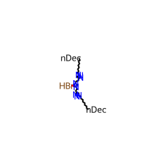 Br.CCCCCCCCCCCCCCCCCCn1cc(CCN2C=CN(CCc3cn(CCCCCCCCCCCCCCCCCC)nn3)C2)nn1